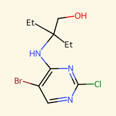 CCC(CC)(CO)Nc1nc(Cl)ncc1Br